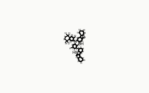 Cc1cc(-c2cccc3c2[nH]c2sc4ccccc4c23)c2c(c1)N(c1cc3c(cc1C)C(C)(C)CCC3(C)C)c1cc3c(cc1B2)oc1ccccc13